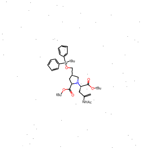 C=C(C[C@H](C(=O)OC(C)(C)C)N1CC(CO[Si](c2ccccc2)(c2ccccc2)C(C)(C)C)CC1C(=O)OC(C)(C)C)NC(C)=O